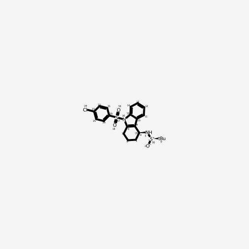 CC(C)(C)[S@@+]([O-])N[C@H]1CCCc2c1c1ccccc1n2S(=O)(=O)c1ccc(Cl)cc1